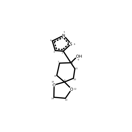 OC1(c2ccns2)CCC2(CC1)OCCO2